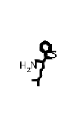 CC(C)CCCC(CN)c1csc2ccccc12